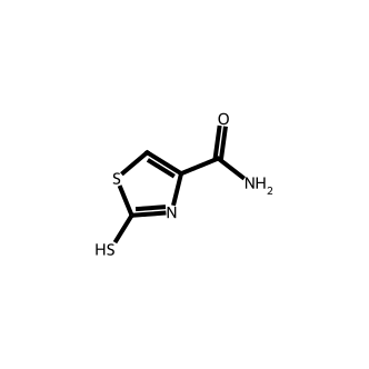 NC(=O)c1csc(S)n1